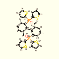 Cc1cccc(P(=O)(c2cccs2)c2cccs2)c1-c1c(C)cccc1P(=O)(c1cccs1)c1cccs1